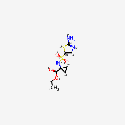 CCOC(=O)C1(NS(=O)(=O)c2cnc(N)s2)CC1